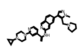 C=C(Nc1cc2cc(-c3cnn(C)c3CN3CCCCC3)ccc2cn1)c1ccnc(N2CCN(C3CC3)CC2)c1